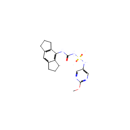 COc1ncc(NS(=O)(=O)NC(=O)Nc2c3c(cc4c2CCC4)CCC3)cn1